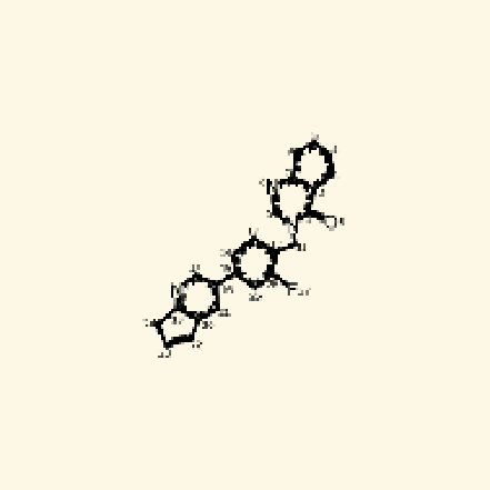 O=c1c2ccccc2ncn1Cc1ccc(-c2cnc3c(c2)C=CC3)cc1F